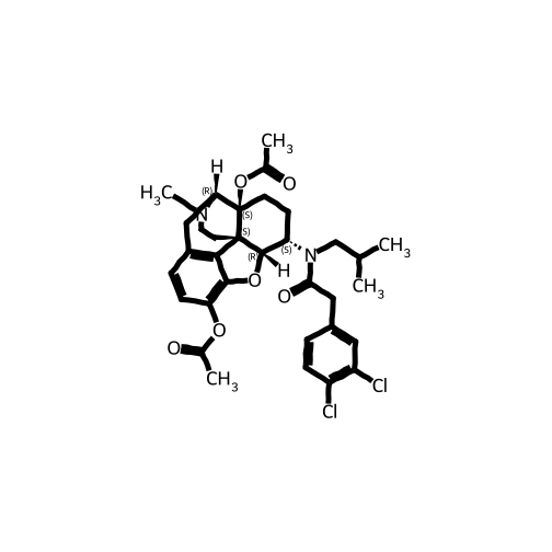 CC(=O)Oc1ccc2c3c1O[C@H]1[C@@H](N(CC(C)C)C(=O)Cc4ccc(Cl)c(Cl)c4)CC[C@@]4(OC(C)=O)[C@@H](C2)N(C)CC[C@]314